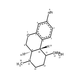 CCCc1ccc2c(c1)OC[C@H]1[C@H]2C(OC)CCN1C.Cl